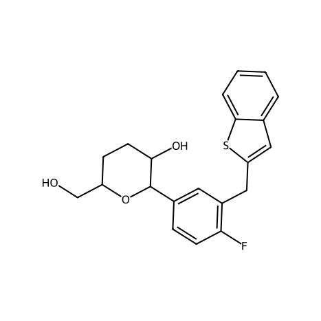 OCC1CCC(O)C(c2ccc(F)c(Cc3cc4ccccc4s3)c2)O1